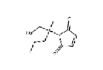 CCCC(C)(CO)N1C(=O)C=CC1=O